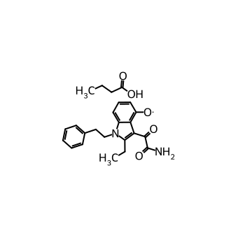 CCCC(=O)O.CCc1c(C(=O)C(N)=O)c2c([O])cccc2n1CCc1ccccc1